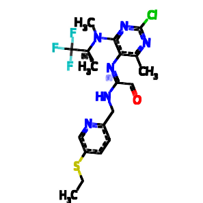 CCSc1ccc(CN/C(C=O)=N/c2c(C)nc(Cl)nc2N(C)[C@@H](C)C(F)(F)F)nc1